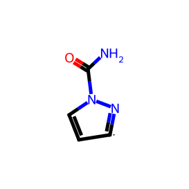 NC(=O)n1cc[c]n1